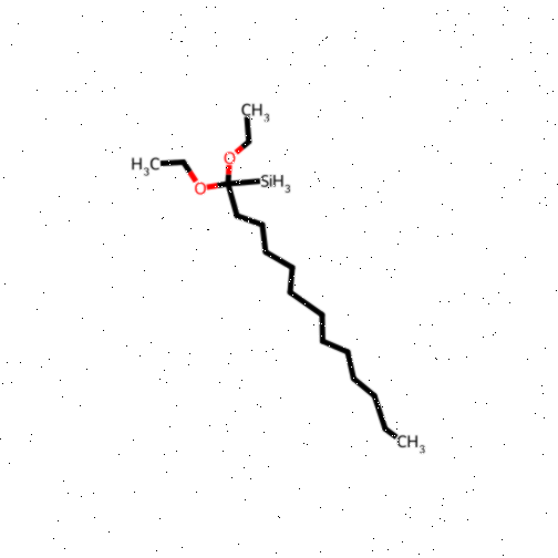 CCCCCCCCCCCCC([SiH3])(OCC)OCC